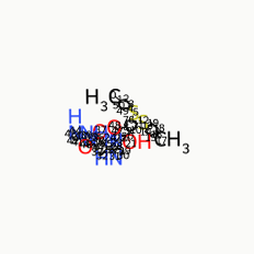 Cc1ccc(Sc2cc3c(cc2Sc2ccc(C)cc2)C(O)=C(N=Nc2c(-c4ccc[nH]4)ccc4c2C(=O)N(Nc2ccc[nH]2)C4=O)C3=O)cc1